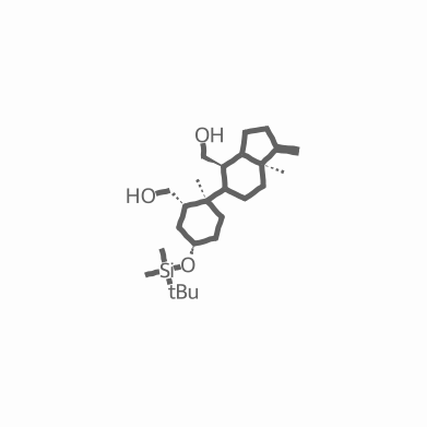 C=C1CCC2[C@H](CO)C([C@@]3(C)CC[C@H](O[Si](C)(C)C(C)(C)C)C[C@@H]3CO)CC[C@]12C